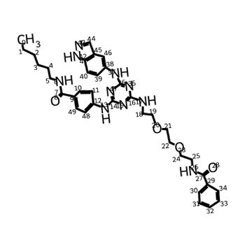 CCCCCCNC(=O)c1ccc(Nc2nc(NCCOCCOCCNC(=O)c3ccccc3)nc(Nc3ccc4[nH]ncc4c3)n2)cc1